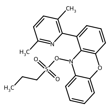 CCCS(=O)(=O)ON1c2ccccc2Oc2cccc(-c3nc(C)ccc3C)c21